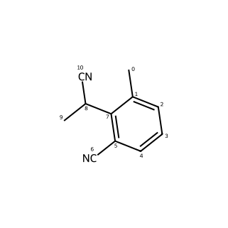 Cc1cccc(C#N)c1C(C)C#N